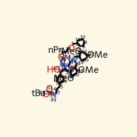 CCC[C@H](CCOCc1ccccc1)Oc1nc(N(Cc2ccc(OC)cc2OC)Cc2ccc(OC)cc2OC)c2ncc(C(O)c3ccc(CCCN(C)C(=O)OC(C)(C)C)cc3)n2n1